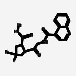 CCNC(=O)C1CC(F)(F)CN1C(=O)CNC(=O)c1ccnc2ccccc12